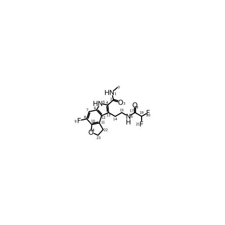 CNC(=O)c1[nH]c2cc(F)c3c(c2c1CCNC(=O)C(F)F)CCO3